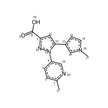 Cc1ccc(-n2nc(C(=O)O)cc2-c2ccn(C)c2)cn1